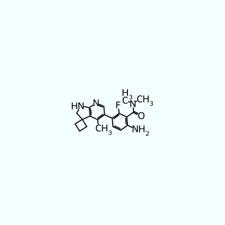 Cc1c(-c2ccc(N)c(C(=O)N(C)C)c2F)cnc2c1C1(CCC1)CN2